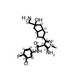 Cn1nc(C2CC3CC(O)(CN)CC3C2)c(C(=O)Nc2ccc(F)c(Cl)c2)c1N